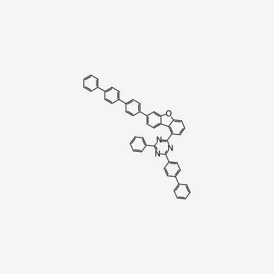 c1ccc(-c2ccc(-c3ccc(-c4ccc5c(c4)oc4cccc(-c6nc(-c7ccccc7)nc(-c7ccc(-c8ccccc8)cc7)n6)c45)cc3)cc2)cc1